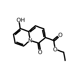 CCOC(=O)c1ccc2c(O)cccn2c1=O